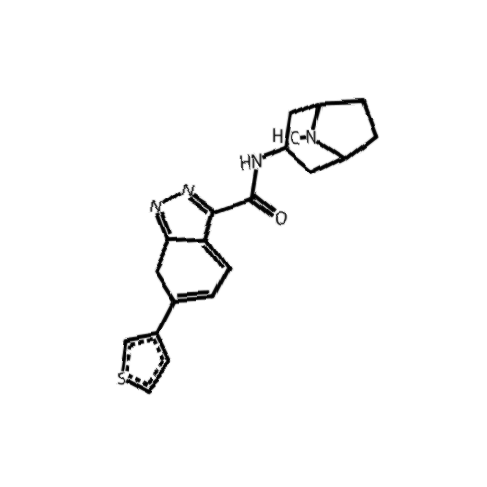 CN1C2CCC1CC(NC(=O)C1=NN=C3CC(c4ccsc4)=CC=C31)C2